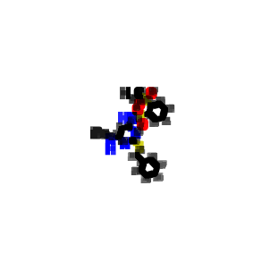 CC[C@@H](C)Nc1cc(NS(=O)(=O)c2ccccc2S(C)(=O)=O)nc(SCc2ccccc2)n1